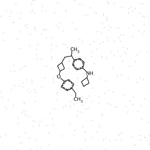 CCc1ccc(OC2CC(CC(C)c3ccc(NC4CCC4)cc3)C2)cc1